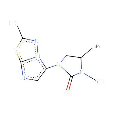 CCCC1CN(c2cnc3sc(C(F)(F)F)nn23)C(=O)N1C